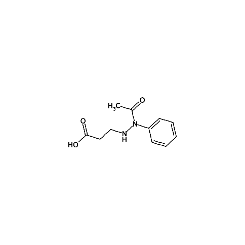 CC(=O)N(NCCC(=O)O)c1ccccc1